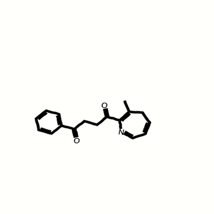 CC1=C(C(=O)CCC(=O)c2ccccc2)N=CC=CC1